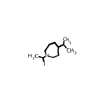 CC(C)C1CCCN(C(C)I)CC1